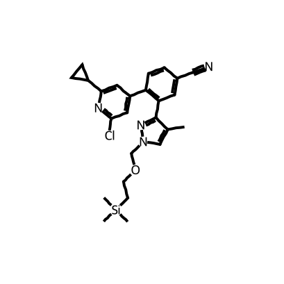 Cc1cn(COCC[Si](C)(C)C)nc1-c1cc(C#N)ccc1-c1cc(Cl)nc(C2CC2)c1